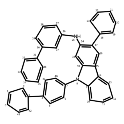 c1ccc(-c2ccc(-n3c4ccccc4c4cc(-c5ccccc5)c(Nc5cccc(-c6ccccc6)c5)cc43)cc2)cc1